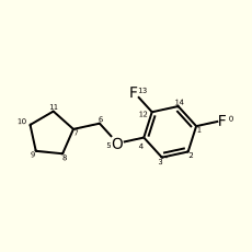 Fc1c[c]c(OCC2CCCC2)c(F)c1